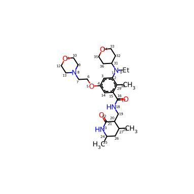 CCN(c1cc(OCCN2CCOCC2)cc(C(=O)NCC2C(=O)NC(C)CC2C)c1C)C1CCOCC1